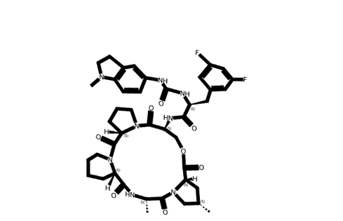 C[C@H]1C[C@H]2C(=O)OC[C@H](NC(=O)[C@H](Cc3cc(F)cc(F)c3)NC(=O)Nc3ccc4c(c3)CCN4C)C(=O)N3CCC[C@H]3C(=O)N3CCCC[C@H]3C(=O)N[C@@H](C)C(=O)N2C1